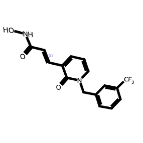 O=C(/C=C/c1cccn(Cc2cccc(C(F)(F)F)c2)c1=O)NO